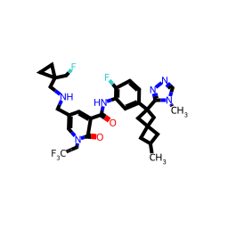 CC1CC2(C1)CC(c1ccc(F)c(NC(=O)c3cc(CNCC4(CF)CC4)cn(CC(F)(F)F)c3=O)c1)(c1nncn1C)C2